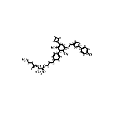 C[C@H](NC(=O)CCN)C(=O)OCCCc1ccc(-c2c(C#N)c(SCc3csc(-c4ccc(Cl)cc4)n3)nc(N3CCC3)c2C#N)cc1